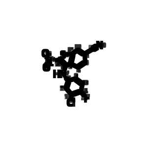 N#Cc1ccc2c(Nc3ccc(F)c(Cl)c3)c([N+](=O)[O-])sc2c1